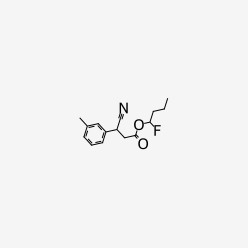 CCCC(F)OC(=O)CC(C#N)c1cccc(C)c1